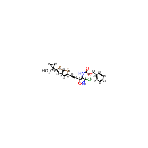 O=C(Nc1c(Cl)noc1C#Cc1cc2cc(C3(C(=O)O)CC3)sc2s1)OCc1ccccc1